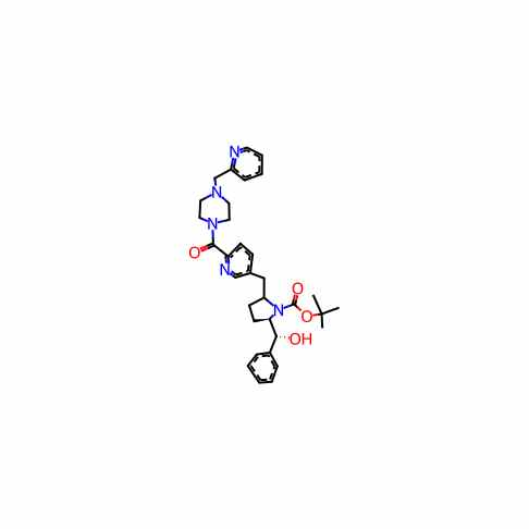 CC(C)(C)OC(=O)N1C(Cc2ccc(C(=O)N3CCN(Cc4ccccn4)CC3)nc2)CC[C@@H]1[C@H](O)c1ccccc1